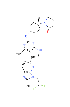 CNc1nc(N[C@H]2CC[C@@](C)(N3CCCC3=O)CC2)nc2[nH]cc(-c3ccc4nc(C)n(CC(F)F)c4n3)c12